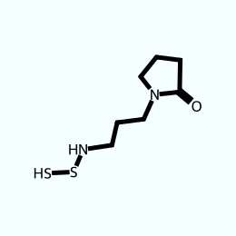 O=C1CCCN1CCCNSS